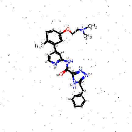 Cc1ccc(OCCN(C)C)cc1-c1ccnc(NC(=O)c2nnc(Cc3ccccc3)[nH]2)c1